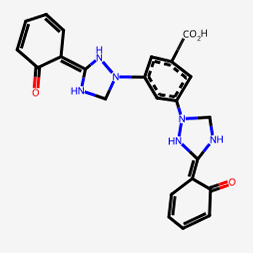 O=C1C=CC=C/C1=C1/NCN(c2cc(C(=O)O)cc(N3CN/C(=C4/C=CC=CC4=O)N3)c2)N1